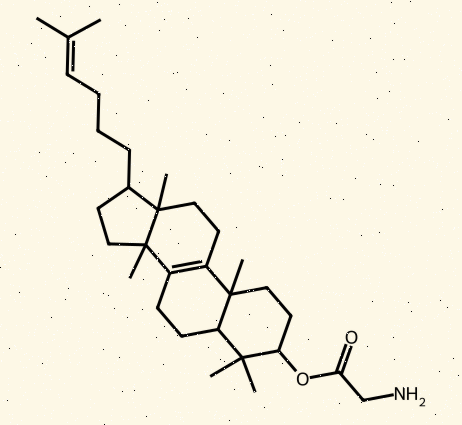 CC(C)=CCCCC1CCC2(C)C3=C(CCC12C)C1(C)CCC(OC(=O)CN)C(C)(C)C1CC3